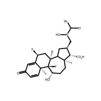 CCC(C(C)C)N(O)C[C@@H]1CC2[C@@H]3C[C@H](F)C4=CC(=O)C=C[C@]4(C)[C@@]3(F)[C@@H](O)CC[C@]2(C)[C@H]1C(=O)O